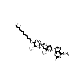 CCCCCCCCCOC(=O)[C@H](C)O[PH](=O)OC[C@@]1(C)O[C@@H](n2cnc3c(N)nc(F)nc32)C[C@@H]1O